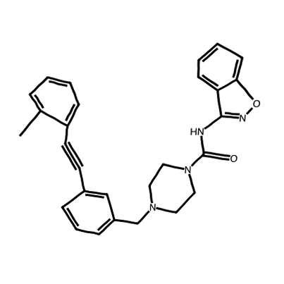 Cc1ccccc1C#Cc1cccc(CN2CCN(C(=O)Nc3noc4ccccc34)CC2)c1